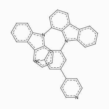 N#Cc1cc(-c2ccncc2)cc(-n2c3ccccc3c3cccc(-n4c5ccccc5c5ccccc54)c32)c1